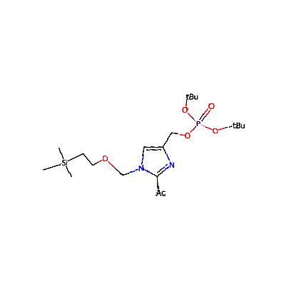 CC(=O)c1nc(COP(=O)(OC(C)(C)C)OC(C)(C)C)cn1COCC[Si](C)(C)C